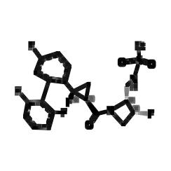 CCS(=O)(=O)NC[C@@H]1[C@H](F)CN1C(=O)[C@@H]1C[C@@]1(F)c1ccc(F)cc1-c1c(F)cccc1F